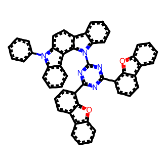 c1ccc(-n2c3ccccc3c3c2ccc2c4ccccc4n(-c4nc(-c5cccc6c5oc5ccccc56)nc(-c5cccc6c5oc5ccccc56)n4)c23)cc1